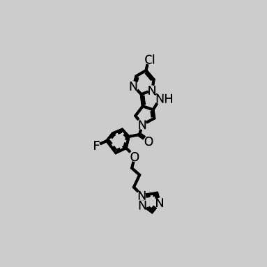 O=C(c1ccc(F)cc1OCCCn1cncn1)N1C=C2NN3C=C(Cl)C=NC3=C2C1